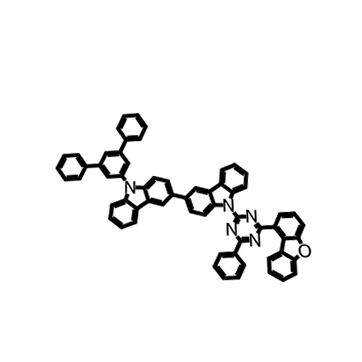 c1ccc(-c2cc(-c3ccccc3)cc(-n3c4ccccc4c4cc(-c5ccc6c(c5)c5ccccc5n6-c5nc(-c6ccccc6)nc(-c6cccc7oc8ccccc8c67)n5)ccc43)c2)cc1